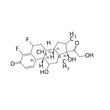 CC1C[C@H]2[C@@H]3CC(F)C4=C(F)C(=O)C=C[C@]4(C)[C@H]3C(O)C[C@]2(C)[C@@]1(O)C(=O)CO